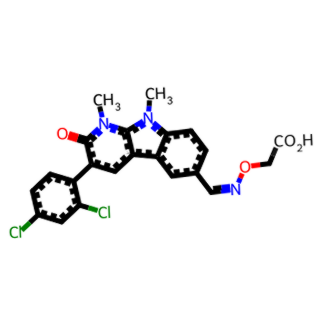 Cn1c(=O)c(-c2ccc(Cl)cc2Cl)cc2c3cc(/C=N\OCC(=O)O)ccc3n(C)c21